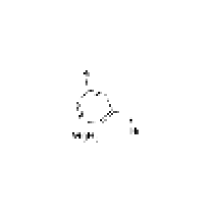 BrCc1cccc(Br)c1.[MgH2]